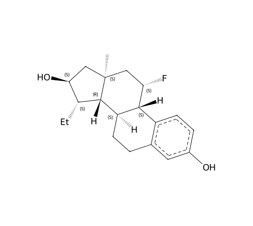 CC[C@H]1[C@H]2[C@@H]3CCc4cc(O)ccc4[C@H]3[C@@H](F)C[C@]2(C)C[C@@H]1O